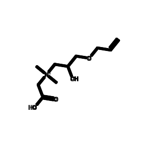 C=CCOCC(O)C[N+](C)(C)CC(=O)O